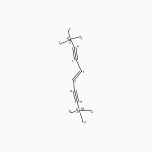 C[Si](C)(C)C#CC=CC#C[Si](C)(C)C